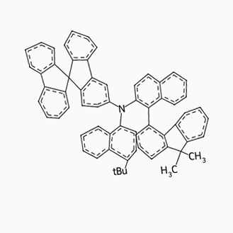 CC(C)(C)c1ccc(N(c2ccc3c(c2)-c2ccccc2C32c3ccccc3-c3ccccc32)c2ccc3ccccc3c2-c2cccc3c2-c2ccccc2C3(C)C)c2ccccc12